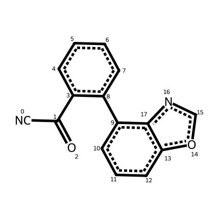 N#CC(=O)c1ccccc1-c1cccc2ocnc12